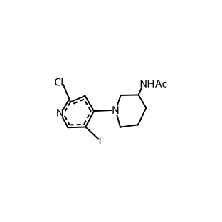 CC(=O)NC1CCCN(c2cc(Cl)ncc2I)C1